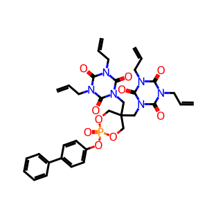 C=CCn1c(=O)n(CC=C)c(=O)n(CC2(Cn3c(=O)n(CC=C)c(=O)n(CC=C)c3=O)COP(=O)(Oc3ccc(-c4ccccc4)cc3)OC2)c1=O